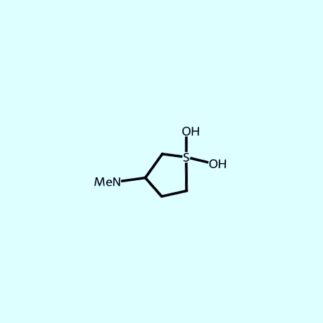 CNC1CCS(O)(O)C1